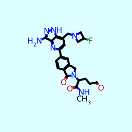 CNC(=O)C(CCC=O)N1Cc2cc(-c3cc(CN4CC(F)C4)c4[nH]nc(N)c4n3)ccc2C1=O